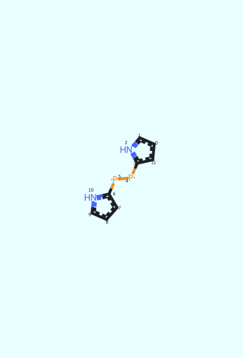 c1c[nH]c([P][P]c2ccc[nH]2)c1